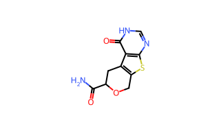 NC(=O)C1Cc2c(sc3nc[nH]c(=O)c23)CO1